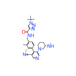 CNC1CCCN(c2cncc(C#N)c2-c2ccc(CNC(=O)c3cn(C(C)(C)C)nn3)c(C)c2F)C1